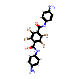 Nc1ccc(NC(=O)c2c(Br)c(Br)c(C(=O)Nc3ccc(N)cc3)c(Br)c2Br)cc1